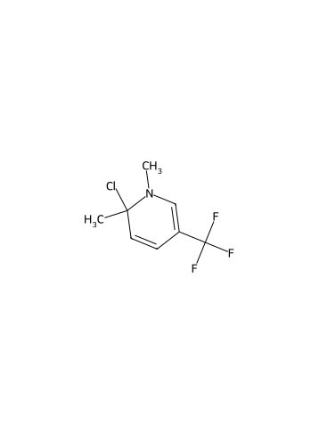 CN1C=C(C(F)(F)F)C=CC1(C)Cl